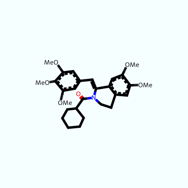 COc1cc2c(cc1OC)/C(=C/c1cc(OC)c(OC)c(OC)c1)N(C(=O)C1CCCCC1)CC2